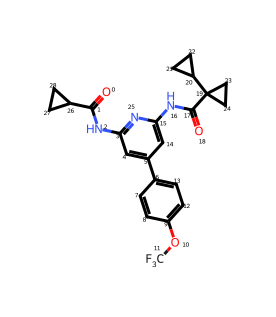 O=C(Nc1cc(-c2ccc(OC(F)(F)F)cc2)cc(NC(=O)C2(C3CC3)CC2)n1)C1CC1